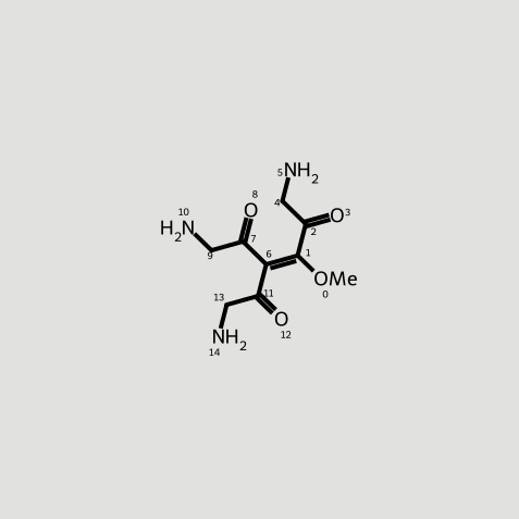 COC(C(=O)CN)=C(C(=O)CN)C(=O)CN